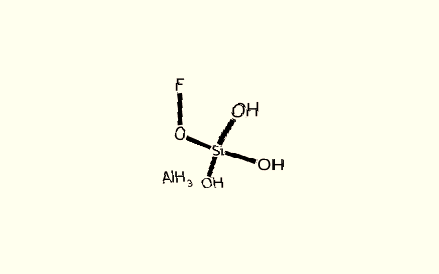 O[Si](O)(O)OF.[AlH3]